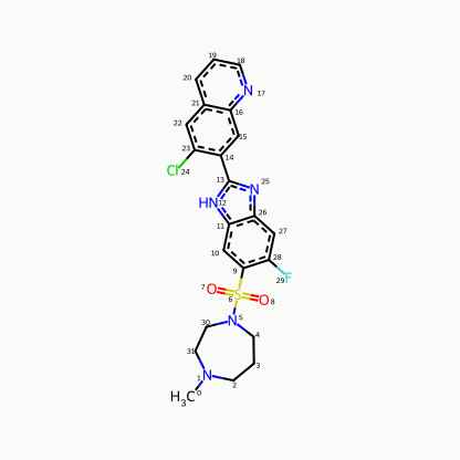 CN1CCCN(S(=O)(=O)c2cc3[nH]c(-c4cc5ncccc5cc4Cl)nc3cc2F)CC1